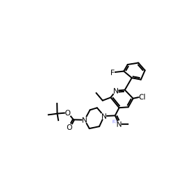 CCc1nc(-c2ccccc2F)c(Cl)cc1/C(=N\C)N1CCN(C(=O)OC(C)(C)C)CC1